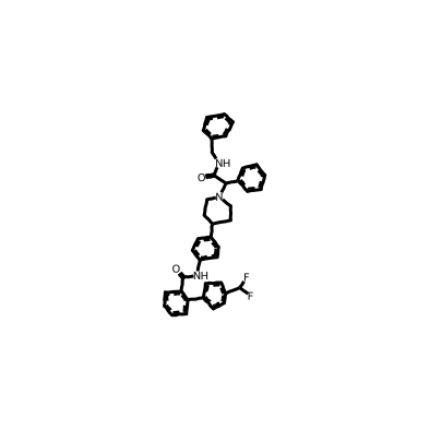 O=C(Nc1ccc(C2CCN(C(C(=O)NCc3ccccc3)c3ccccc3)CC2)cc1)c1ccccc1-c1ccc(C(F)F)cc1